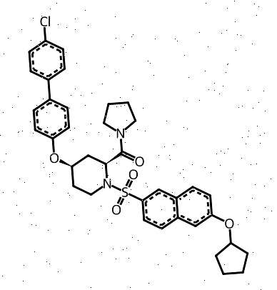 O=C([C@@H]1C[C@H](Oc2ccc(-c3ccc(Cl)cc3)cc2)CCN1S(=O)(=O)c1ccc2cc(OC3CCCC3)ccc2c1)N1CCCC1